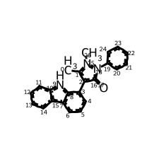 Cc1c(-c2cccc3c2[nH]c2ccccc23)c(=O)n(-c2ccccc2)n1C